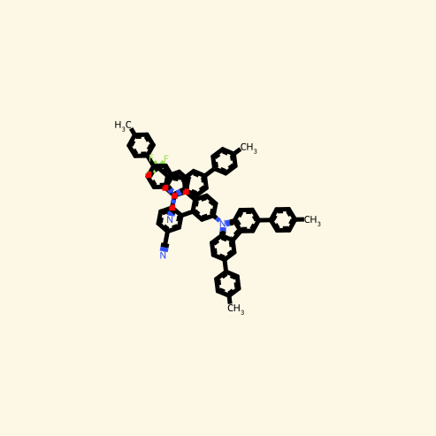 Cc1ccc(-c2ccc3c(c2)c2cc(-c4ccc(C)cc4)ccc2n3-c2ccc(-c3ccc(C(F)(F)F)cc3C#N)c(-c3cc(C#N)ccc3-n3c4ccc(-c5ccc(C)cc5)cc4c4cc(-c5ccc(C)cc5)ccc43)c2)cc1